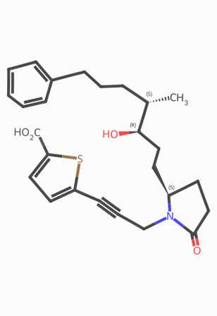 C[C@@H](CCCc1ccccc1)[C@H](O)CC[C@H]1CCC(=O)N1CC#Cc1ccc(C(=O)O)s1